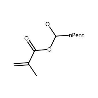 C=C(C)C(=O)OC([O])CCCCC